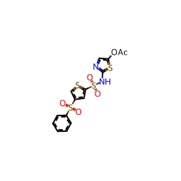 CC(=O)Oc1cnc(NS(=O)(=O)c2cc(S(=O)(=O)c3ccccc3)cs2)s1